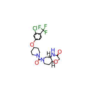 O=C1CO[C@H]2CCN(C(=O)N3CCC(Oc4ccc(C(F)(F)F)c(Cl)c4)CC3)C[C@H]2N1